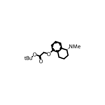 CN[C@@H]1CCCc2c(OCC(=O)OC(C)(C)C)cccc21